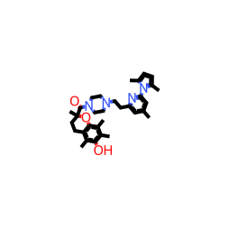 Cc1cc(CCN2CCN(C(=O)C3(C)CCc4c(C)c(O)c(C)c(C)c4O3)CC2)nc(-n2c(C)ccc2C)c1